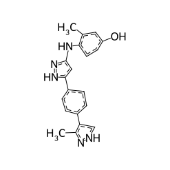 Cc1cc(O)ccc1Nc1cc(-c2ccc(-c3c[nH]nc3C)cc2)[nH]n1